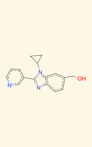 OCc1ccc2nc(-c3cccnc3)n(C3CC3)c2c1